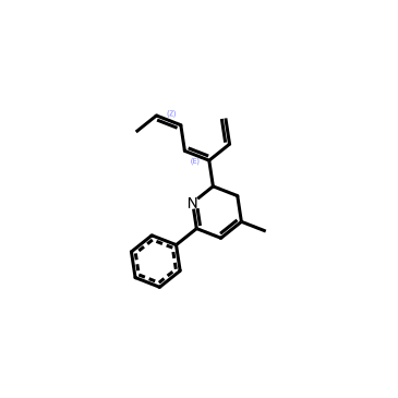 C=C/C(=C\C=C/C)C1CC(C)=CC(c2ccccc2)=N1